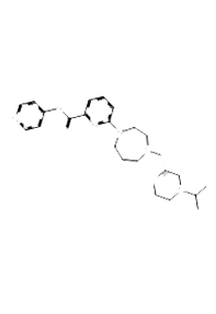 CC(C)N1CCO[C@H](CN2CCCN(c3cccc(C(=O)Nc4ccncc4)n3)CC2)C1